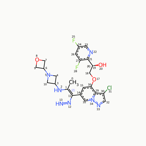 C/C(NC1CN(C2COC2)C1)=C(/N=N)c1cc(OC[C@H](O)c2ncc(F)cc2F)c2c(Cl)cnn2c1